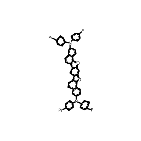 CC(C)c1ccc(N(c2ccc(F)cc2)c2ccc3c(ccc4c5cc6c(cc5oc34)oc3c4ccc(N(c5ccc(F)cc5)c5ccc(C(C)C)cc5)cc4ccc63)c2)cc1